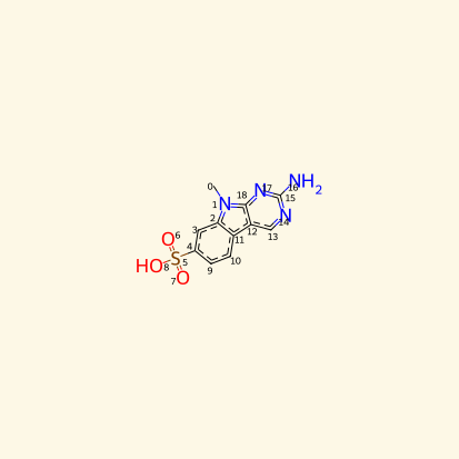 Cn1c2cc(S(=O)(=O)O)ccc2c2cnc(N)nc21